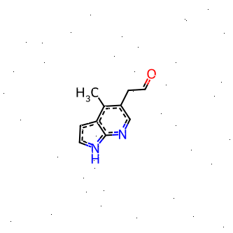 Cc1c(CC=O)cnc2[nH]ccc12